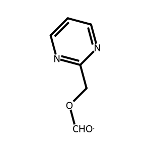 O=[C]OCc1ncccn1